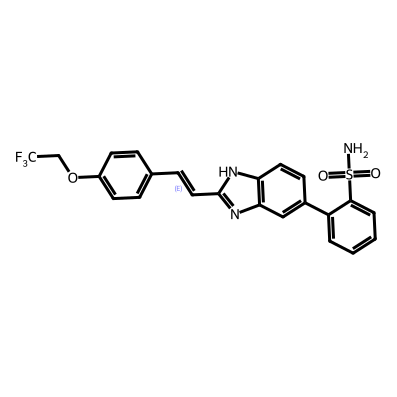 NS(=O)(=O)c1ccccc1-c1ccc2[nH]c(/C=C/c3ccc(OCC(F)(F)F)cc3)nc2c1